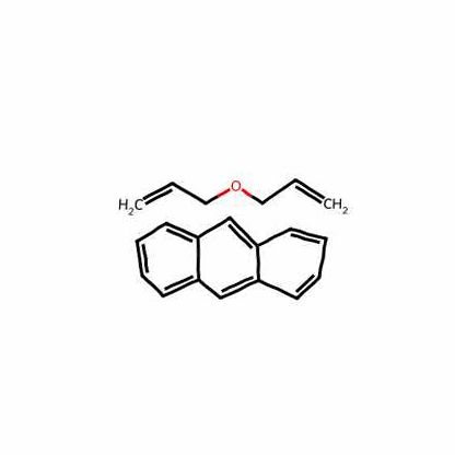 C=CCOCC=C.c1ccc2cc3ccccc3cc2c1